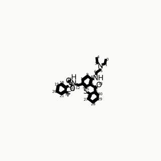 CCN(CC)CCNc1ccc(CNS(=O)(=O)c2ccccc2F)c2sc3ccccc3c(=O)c12